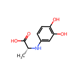 C[C@@H](Nc1ccc(O)c(O)c1)C(=O)O